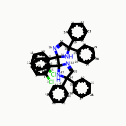 Clc1ccccc1C1(C2(c3ccccc3Cl)N=CC(c3ccccc3)(c3ccccc3)N2)N=CC(c2ccccc2)(c2ccccc2)N1